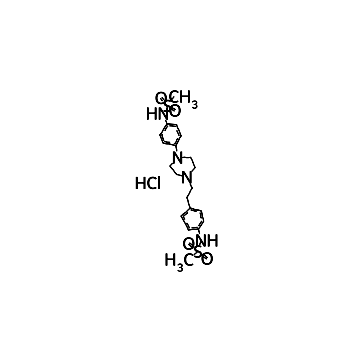 CS(=O)(=O)Nc1ccc(CCN2CCN(c3ccc(NS(C)(=O)=O)cc3)CC2)cc1.Cl